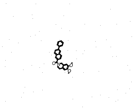 COc1cc2c(cc1OC)CN(C(=O)c1ccc3cc(-c4ccccc4)ccc3c1)CC2